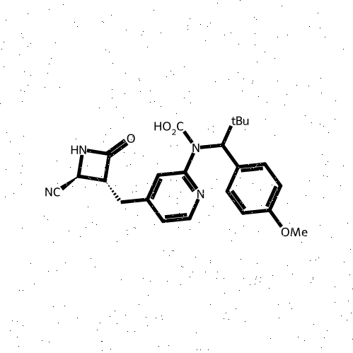 COc1ccc(C(N(C(=O)O)c2cc(C[C@H]3C(=O)N[C@@H]3C#N)ccn2)C(C)(C)C)cc1